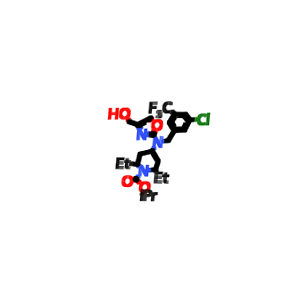 CCC1CC(N(Cc2cc(Cl)cc(C(F)(F)F)c2)c2nc(CO)co2)CC(CC)N1C(=O)OC(C)C